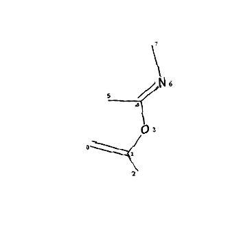 C=C(C)O/C(C)=N/C